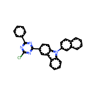 Clc1nc(-c2ccccc2)nc(-c2ccc3c(c2)c2ccccc2n3-c2ccc3ccccc3c2)n1